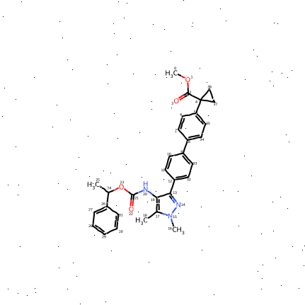 COC(=O)C1(c2ccc(-c3ccc(-c4nn(C)c(C)c4NC(=O)OC(C)c4ccccc4)cc3)cc2)CC1